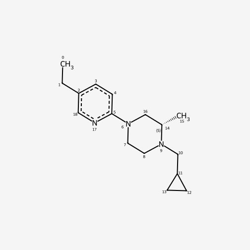 CCc1ccc(N2CCN(CC3CC3)[C@@H](C)C2)nc1